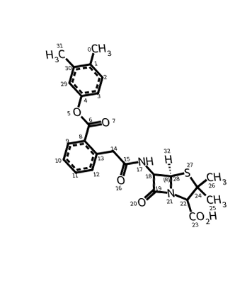 Cc1ccc(OC(=O)c2ccccc2CC(=O)NC2C(=O)N3C(C(=O)O)C(C)(C)S[C@H]23)cc1C